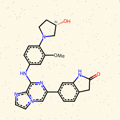 COc1cc(Nc2nc(-c3ccc4c(c3)NC(=O)C4)cn3ccnc23)ccc1N1CC[C@H](O)C1